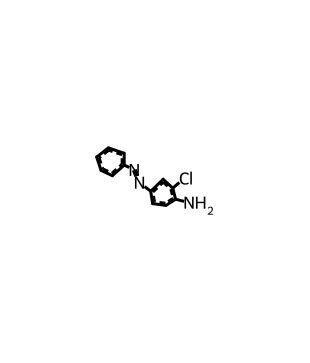 Nc1ccc(/N=N/c2ccccc2)cc1Cl